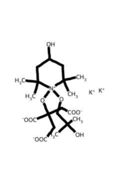 CC(C)(O)CO[N+]1(OC(CC(=O)[O-])(CC(=O)[O-])C(=O)[O-])C(C)(C)CC(O)CC1(C)C.[K+].[K+]